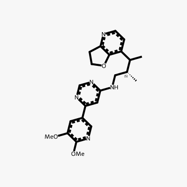 COc1cc(-c2cc(NC[C@@H](C)C(C)c3ccnc4c3OCC4)ncn2)cnc1OC